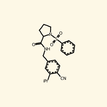 CC(C)c1cc(CNC(=O)C2CCCN2S(=O)(=O)c2ccccc2)ccc1C#N